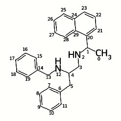 CC(NCC(Cc1ccccc1)NCc1ccccc1)c1cccc2ccccc12